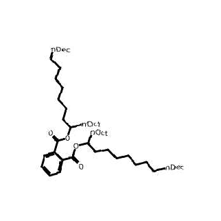 CCCCCCCCCCCCCCCCCC(CCCCCCCC)OC(=O)c1ccccc1C(=O)OC(CCCCCCCC)CCCCCCCCCCCCCCCCC